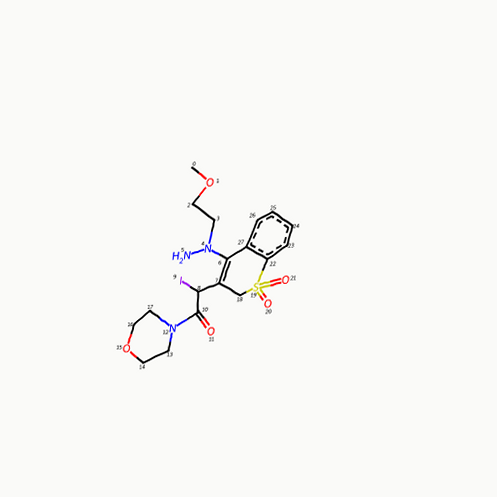 COCCN(N)C1=C(C(I)C(=O)N2CCOCC2)CS(=O)(=O)c2ccccc21